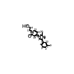 Cc1cccc(-c2cn(-c3ccn(CCO)c(=O)c3)c(C)n2)c1